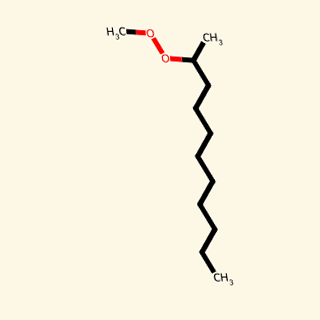 CCCCCCCCCC(C)OOC